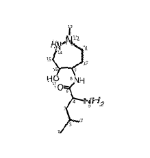 CC(C)CC(N)C(=O)NC1CCN(C)NCC1O